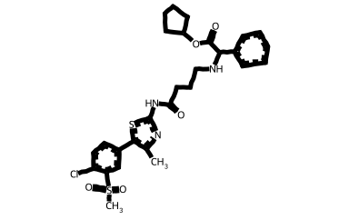 Cc1nc(NC(=O)CCCNC(C(=O)OC2CCCC2)c2ccccc2)sc1-c1ccc(Cl)c(S(C)(=O)=O)c1